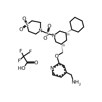 NCc1ccnc(OC[C@H]2C[C@@H](C3CCCCC3)CN(S(=O)(=O)N3CCS(=O)(=O)CC3)C2)c1.O=C(O)C(F)(F)F